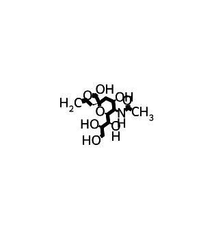 C=CC[C@]1(C(=O)O)C[C@H](O)[C@@H](NC(C)=O)[C@H]([C@H](O)[C@H](O)CO)O1